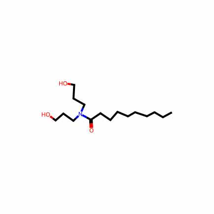 CCCCCCCCCC(=O)N(CCCO)CCCO